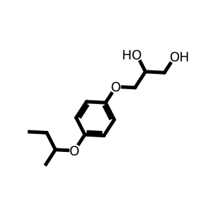 CCC(C)Oc1ccc(OCC(O)CO)cc1